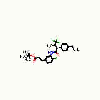 C=CC1=CCC([C@@H](C(=O)Nc2cc(CCC(=O)OC(C)(C)C)ccc2F)[C@@H](C)C(F)(F)F)C=C1